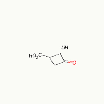 O=C1CC(C(=O)O)C1.[LiH]